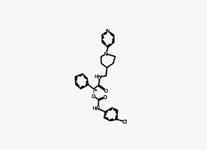 O=C(Nc1ccc(Cl)cc1)O[C@@H](C(=O)NCC1CCN(c2ccncc2)CC1)c1ccccc1